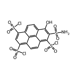 NS(=O)(=O)c1c(O)c2ccc3c(S(=O)(=O)Cl)cc(S(=O)(=O)Cl)c4ccc(c1S(=O)(=O)Cl)c2c34